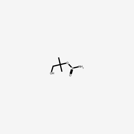 CC(C)(CO)OS(N)=O